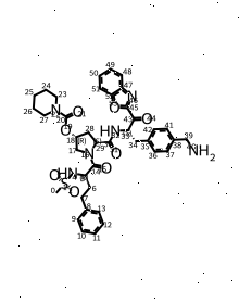 CS(=O)(=O)N[C@H](CCc1ccccc1)C(=O)N1C[C@H](OC(=O)N2CCCCC2)C[C@H]1C(=O)N[C@@H](Cc1ccc(CN)cc1)C(=O)c1nc2ccccc2o1